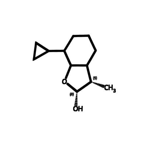 C[C@H]1C2CCCC(C3CC3)C2O[C@H]1O